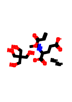 C=CC(=O)OC.NC(CCC(=O)[O-])C(=O)[O-].OCC(CO)(CO)CO.[Na+].[Na+]